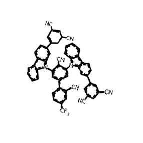 N#CC1=CC(C#N)CC(c2ccc3c4ccccc4n(-c4cc(-c5ccc(C(F)(F)F)cc5C#N)cc(-n5c6ccccc6c6ccc(-c7cc(C#N)cc(C#N)c7)cc65)c4C#N)c3c2)=C1